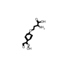 NC(CCOc1ccc(C(C=O)=NO)cc1)C(=O)O